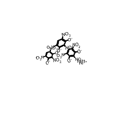 O=[N+]([O-])c1cc([N+](=O)[O-])c([O-])c([N+](=O)[O-])c1[O-].O=[N+]([O-])c1cc([N+](=O)[O-])c([O-])c([N+](=O)[O-])c1[O-].O=[N+]([O-])c1cc([N+](=O)[O-])c([O-])c([N+](=O)[O-])c1[O-].[Fe+3].[Fe+3]